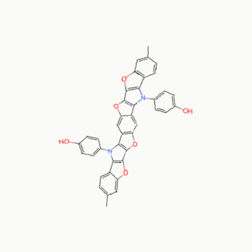 Cc1ccc2c(c1)oc1c3oc4cc5c(cc4c3n(-c3ccc(O)cc3)c21)oc1c2oc3cc(C)ccc3c2n(-c2ccc(O)cc2)c51